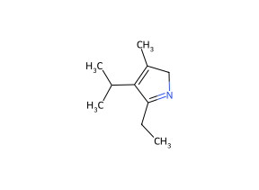 CCC1=NCC(C)=C1C(C)C